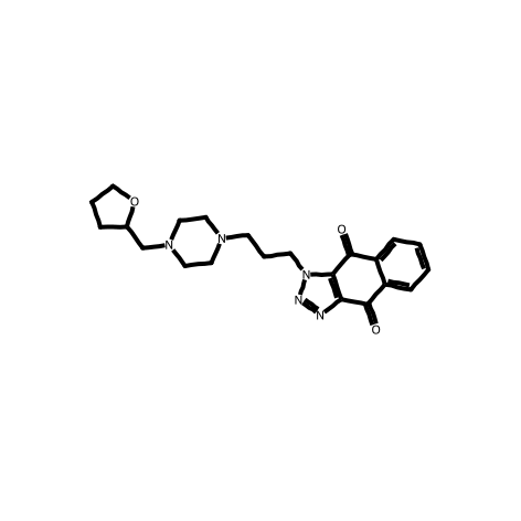 O=C1c2ccccc2C(=O)c2c1nnn2CCCN1CCN(CC2CCCO2)CC1